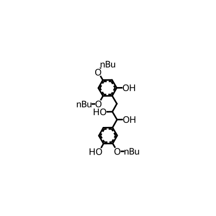 CCCCOc1cc(O)c(CC(O)C(O)c2ccc(O)c(OCCCC)c2)c(OCCCC)c1